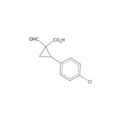 O=CC1(C(=O)O)CC1c1ccc(Cl)cc1